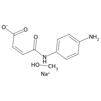 CO.Nc1ccc(NC(=O)/C=C\C(=O)[O-])cc1.[Na+]